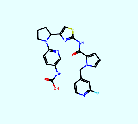 O=C(O)Nc1ccc(N2CCCC2c2csc(NC(=O)c3cccn3Cc3ccnc(F)c3)n2)nc1